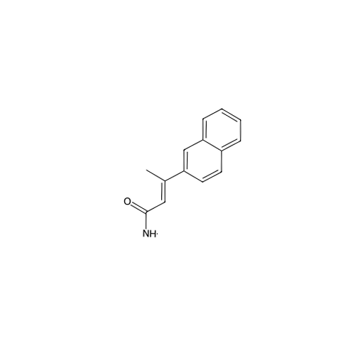 C/C(=C\C([NH])=O)c1ccc2ccccc2c1